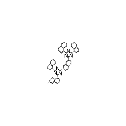 Cc1ccc2c(-c3nc(-c4ccc5ccc(-c6nc(-c7cccc8ccccc78)nc(-c7cccc8ccccc78)n6)cc5c4)nc(-c4cccc5ccccc45)n3)cccc2c1